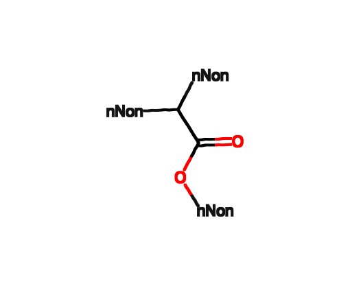 CCCCCCCCCOC(=O)C(CCCCCCCCC)CCCCCCCCC